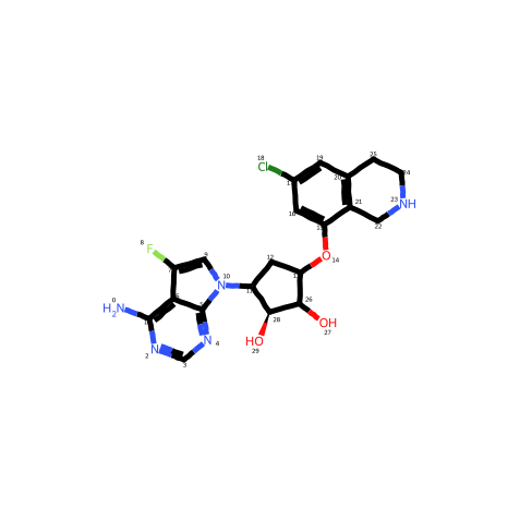 Nc1ncnc2c1c(F)cn2C1CC(Oc2cc(Cl)cc3c2CNCC3)C(O)[C@H]1O